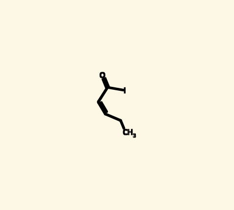 CC/C=C\C(=O)I